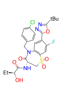 CC[C@H](O)C(=O)N[C@H]1CS(=O)(=O)c2cc(F)c(-c3nnc(C(C)(C)C)o3)cc2N(Cc2ccc(Cl)cc2)C1=O